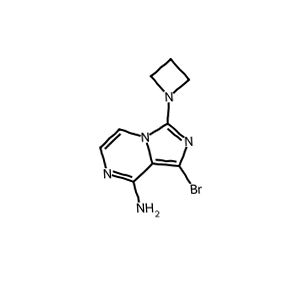 Nc1nccn2c(N3CCC3)nc(Br)c12